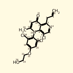 C=CCc1ncc(Cl)c2c1c(=O)cc(C)n2-c1c(Cl)cc(OCCO)cc1Cl